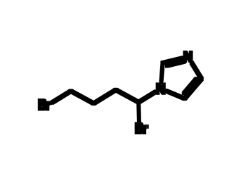 BrCCCC(Br)n1ccnc1